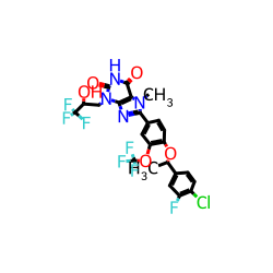 CC(Oc1ccc(-c2nc3c(c(=O)[nH]c(=O)n3CC(O)C(F)(F)F)n2C)cc1OC(F)(F)F)c1ccc(Cl)c(F)c1